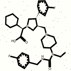 CCN(C(=O)NCc1ccc(F)cc1)C1CCN(C[C@H]2CN([C@@H](C(=O)O)C3CCCCC3)C[C@@H]2c2cccc(F)c2)CC1